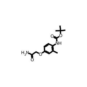 Cc1cc(OCC(N)=O)ccc1NC(=O)OC(C)(C)C